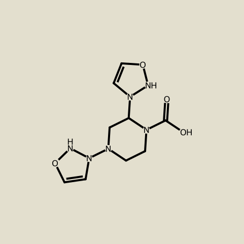 O=C(O)N1CCN(N2C=CON2)CC1N1C=CON1